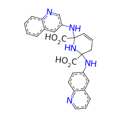 O=C(O)C1(Nc2cnc3ccccc3c2)C=CCC(Nc2ccc3ncccc3c2)(C(=O)O)N1